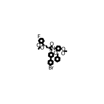 CC(=O)Oc1ccc(N2C(=O)[C@H](CC[C@H](OC(C)=O)c3ccc(F)cc3)[C@H]2c2ccc(-c3ccc(Br)cc3)cc2OCc2ccccc2)cc1